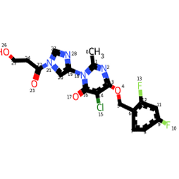 Cc1nc(OCc2ccc(F)cc2F)c(Cl)c(=O)n1-c1cn(C(=O)CCO)cn1